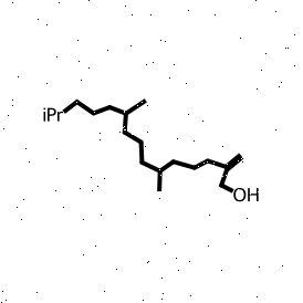 C=C(CO)CCCC(C)CCCC(C)CCCC(C)C